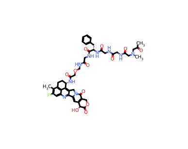 CC(=O)CN(C)CC(=O)NCC(=O)NCC(=O)N[C@@H](Cc1ccccc1)C(=O)NCC(=O)NCOCC(=O)N[C@H]1CCc2c(C)c(F)cc3nc4c(c1c23)Cn1c-4cc2c(c1=O)COC(=O)[C@H]2O